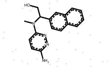 CN(c1ccc(N)nn1)C(CO)c1ccc2ccccc2c1